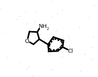 NC1COCC1c1ccc(Cl)cc1